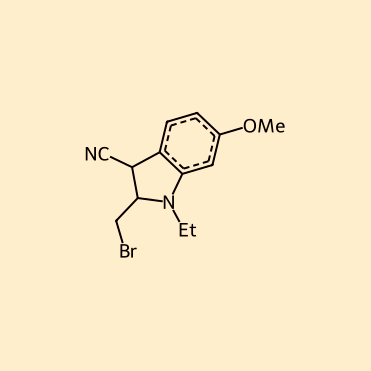 CCN1c2cc(OC)ccc2C(C#N)C1CBr